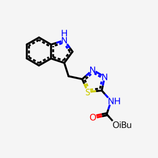 CC(C)COC(=O)Nc1nnc(Cc2c[nH]c3ccccc23)s1